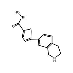 O=C(NO)c1ccc(-c2ccc3c(c2)CNCC3)s1